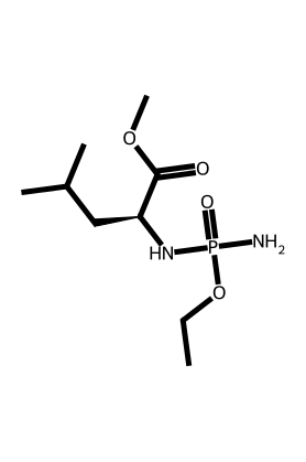 CCOP(N)(=O)N[C@@H](CC(C)C)C(=O)OC